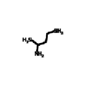 NC([SiH3])CC[SiH3]